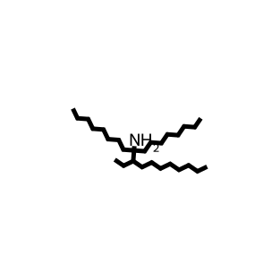 CCCCCCCCC(CC)C(N)(CCCCCCCC)CCCCCCCC